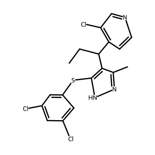 CCC(c1ccncc1Cl)c1c(C)n[nH]c1Sc1cc(Cl)cc(Cl)c1